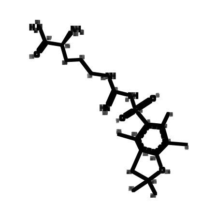 Cc1c(C)c(S(=O)(=O)NC(=N)NCCC[C@H](N)C(N)=O)c(C)c2c1OC(C)(C)C2